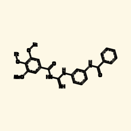 CCOc1cc(C(=O)NC(=N)Nc2cccc(NC(=O)c3ccccc3)c2)cc(OC)c1OCC